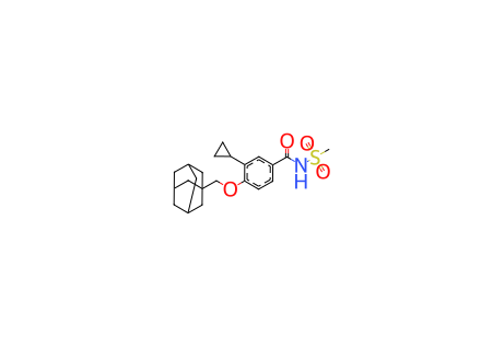 CS(=O)(=O)NC(=O)c1ccc(OCC23CC4CC(CC(C4)C2)C3)c(C2CC2)c1